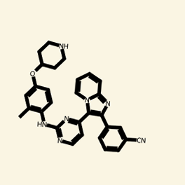 Cc1cc(OC2CCNCC2)ccc1Nc1nccc(-c2c(-c3cccc(C#N)c3)nc3ccccn23)n1